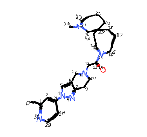 Cc1cc(-n2cc3c(n2)CCN(CC(=O)N2CCCC4(CCCN(C)C4)C2)C3)ccn1